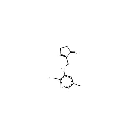 Cc1cnc(Cl)c(OCC2=CCCC2=O)c1